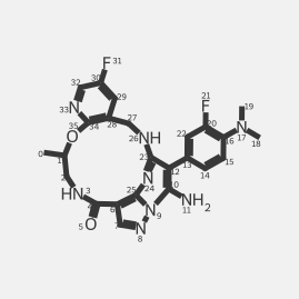 CC1CNC(=O)c2cnn3c(N)c(-c4ccc(N(C)C)c(F)c4)c(nc23)NCc2cc(F)cnc2O1